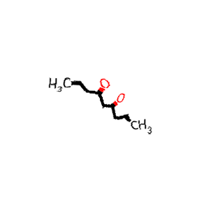 CCCC(=O)[CH]C(=O)CCC